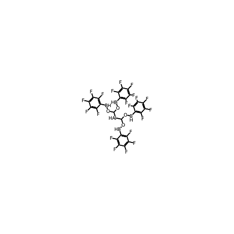 Fc1c(F)c(F)c(BO[CH](OBc2c(F)c(F)c(F)c(F)c2F)[AlH][CH](OBc2c(F)c(F)c(F)c(F)c2F)OBc2c(F)c(F)c(F)c(F)c2F)c(F)c1F